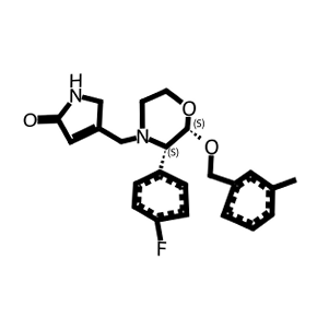 Cc1cccc(CO[C@H]2OCCN(CC3=CC(=O)NC3)[C@H]2c2ccc(F)cc2)c1